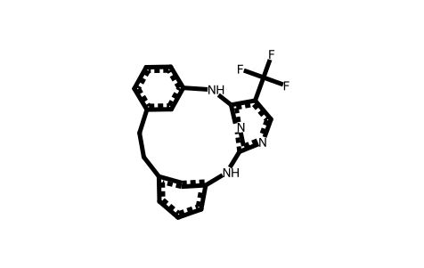 FC(F)(F)c1cnc2nc1Nc1cccc(c1)CCc1cccc(c1)N2